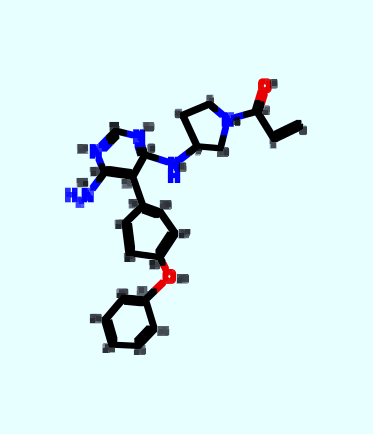 C=CC(=O)N1CCC(Nc2ncnc(N)c2-c2ccc(Oc3ccccc3)cc2)C1